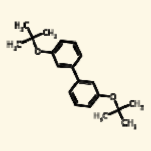 CC(C)(C)Oc1cc[c]c(-c2[c]ccc(OC(C)(C)C)c2)c1